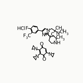 CN(C)C(C)(C)Cn1cc(-c2ccc(F)c(C(F)(F)F)c2)nc1C1CCNCC1.Cl.O=C1C=C(N2CC2)C(=O)C(N2CC2)=C1N1CC1